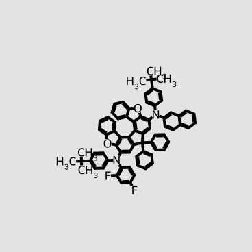 CC(C)(C)c1ccc(N(c2ccc3ccccc3c2)c2cc3c(c4c2oc2ccccc24)-c2c(cc(N(c4ccc(C(C)(C)C)cc4)c4ccc(F)cc4F)c4oc5ccccc5c24)C3(c2ccccc2)c2ccccc2)cc1